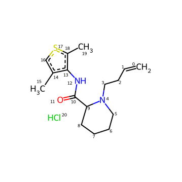 C=CCCN1CCCCC1C(=O)Nc1c(C)csc1C.Cl